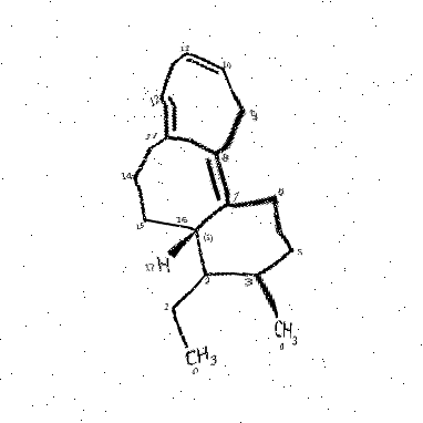 CCC1C(C)CCC2=C3CC=CC=C3CC[C@H]21